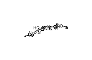 C#Cc1cnc2c(ccn2COCC(C(O)c2ccc3nc(Cn4cc(-c5cnc6c(ccn6COCC[Si](C)(C)C)c5)nn4)cn3c2)[Si](C)(C)C)c1